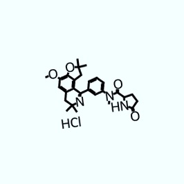 COc1cc2c(c3c1OC(C)(C)C3)C(c1cccc(N(C)C(=O)C3CCC(=O)N3)c1)=NC(C)(C)C2.Cl